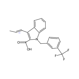 C/C=C/c1c(C(=O)O)n(Cc2cccc(C(F)(F)F)c2)c2ccccc12